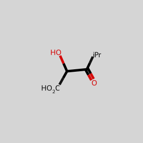 CC(C)C(=O)C(O)C(=O)O